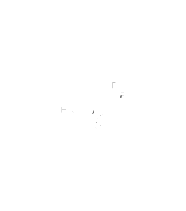 CCOC(=O)[C@@H]1C[C@H]1C(F)(F)F